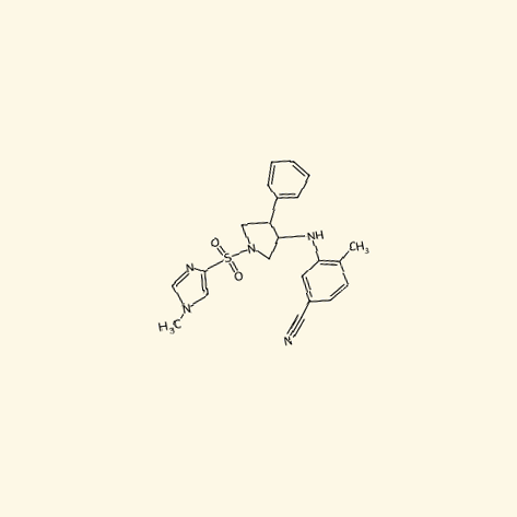 Cc1ccc(C#N)cc1NC1CN(S(=O)(=O)c2cn(C)cn2)CC1c1ccccc1